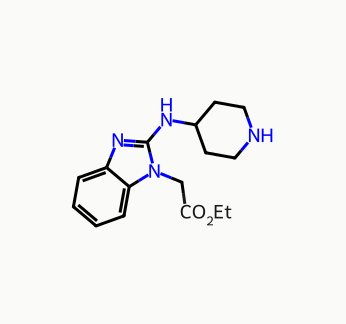 CCOC(=O)Cn1c(NC2CCNCC2)nc2ccccc21